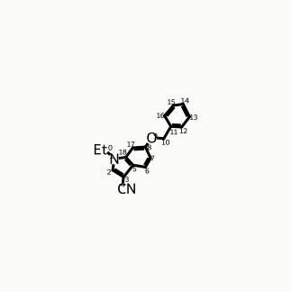 CCn1cc(C#N)c2ccc(OCc3ccccc3)cc21